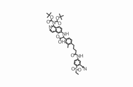 CCS(=O)(=O)c1ccc(NC(=O)CCCc2ccc(C(Nc3ccc4c(N(C(=O)OC(C)(C)C)C(=O)OC(C)(C)C)nccc4c3)C(=O)O)cc2C)cc1C#N